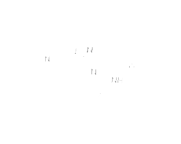 Nc1cc(=O)[nH]c(=O)n1Cc1cccnc1